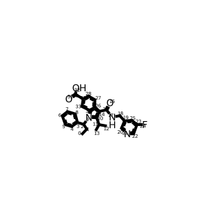 CCC(c1ccccc1)n1c(C(C)C)c(C(=O)NCc2cncc(F)c2)c2ccc(C(=O)O)cc21